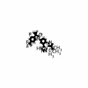 CC(C)(C)c1cnn(-c2ccc(NC(=O)C3(c4ccc(C(F)(F)F)cc4F)CC3)cc2-c2nnn[nH]2)c1